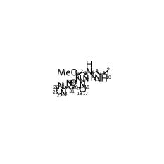 COc1cc(Nc2cc(C3CC3)[nH]n2)nc(N2CCCC2c2cc(-c3ncccn3)no2)n1